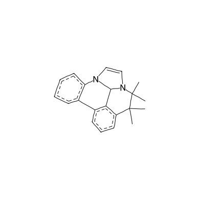 CC1(C)c2cccc3c2C2N(C=CN2C1(C)C)c1ccccc1-3